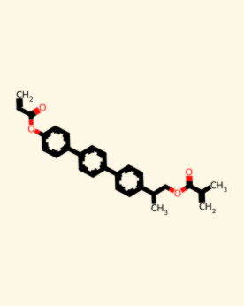 C=CC(=O)Oc1ccc(-c2ccc(-c3ccc(C(C)COC(=O)C(=C)C)cc3)cc2)cc1